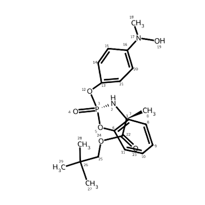 C[C@H](N[P@@](=O)(Oc1ccccc1)Oc1ccc(N(C)O)cc1)C(=O)OCC(C)(C)C